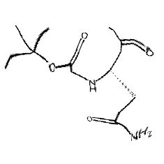 CC(=O)[C@H](CC(N)=O)NC(=O)OC(C)(C)C